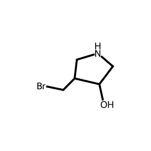 OC1CNCC1CBr